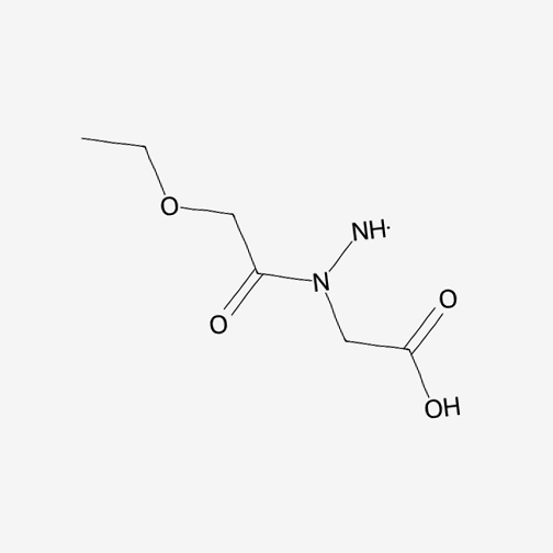 CCOCC(=O)N([NH])CC(=O)O